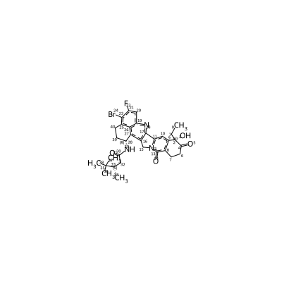 CC[C@@]1(O)C(=O)CCc2c1cc1n(c2=O)Cc2c-1nc1cc(F)c(Br)c3c1c2[C@H](NC(=O)C[C@H](C)C(C)(C)C)CC3